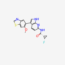 COc1cc2scnc2cc1-c1c[nH]c2nc(NC(=O)[C@@H]3C[C@@H]3F)ccc12